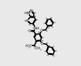 CC(C)c1cc(C(=O)Nc2cnc3[nH]ncc3c2)c(OCc2ccccc2)cc1OCc1ccccc1